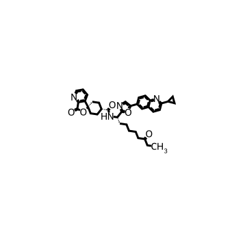 CCC(=O)CCCCC[C@H](NC(=O)[C@H]1CC[C@]2(CC1)OC(=O)c1ncccc12)c1ncc(-c2ccc3nc(C4CC4)ccc3c2)o1